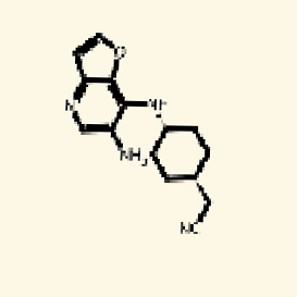 N#CC[C@H]1CC[C@H](Nc2c(N)cnc3ccoc23)CC1